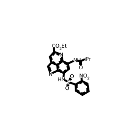 CCOC(=O)c1cc2c3c(c(NS(=O)(=O)c4ccccc4[N+](=O)[O-])cc(NC(=O)C(C)C)c3n1)N=C2